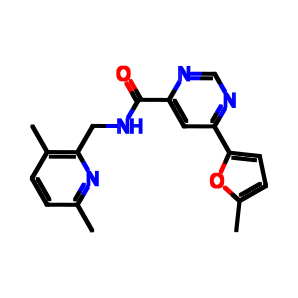 Cc1ccc(C)c(CNC(=O)c2cc(-c3ccc(C)o3)ncn2)n1